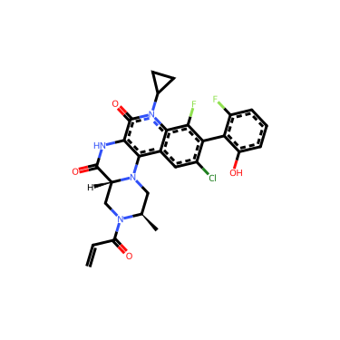 C=CC(=O)N1C[C@@H]2C(=O)Nc3c(c4cc(Cl)c(-c5c(O)cccc5F)c(F)c4n(C4CC4)c3=O)N2C[C@H]1C